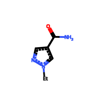 CCn1cc(C(N)=O)cn1